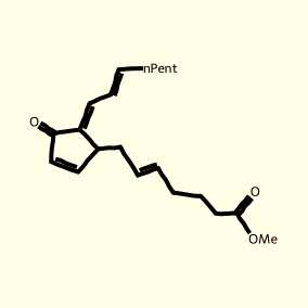 CCCCCC=CC=C1C(=O)C=CC1CC=CCCCC(=O)OC